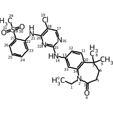 CCN1C(=O)CCC(C)(C)c2ccc(Nc3ncc(Cl)c(Nc4ccccc4S(C)(=O)=O)n3)cc21